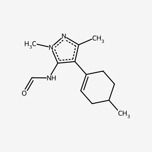 Cc1nn(C)c(NC=O)c1C1=CCC(C)CC1